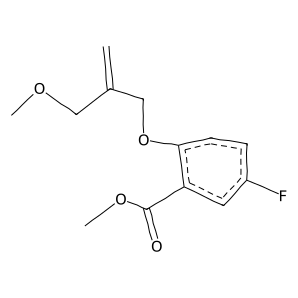 C=C(COC)COc1ccc(F)cc1C(=O)OC